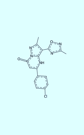 Cc1noc(-c2c(C)nn3c(=O)cc(-c4ccc(Cl)cc4)[nH]c23)n1